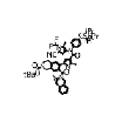 Cc1c(C(=O)N(c2ccc(O[Si](C(C)C)(C(C)C)C(C)C)cc2)c2cc(C#N)n(C(F)F)c2C)cc(-c2cc3c(cc2C(=O)N2Cc4ccccc4C[C@H]2C)CN(C(=O)OC(C)(C)C)CC3)n1C